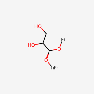 CCCO[C@H](OCC)C(O)CO